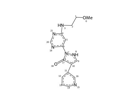 COCCNc1cc(-n2[nH]cc(-c3cccnc3)c2=O)ncn1